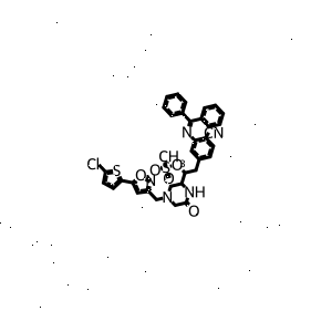 CS(=O)(=O)OC(Cc1ccc(C#N)c(N=C(c2ccccc2)c2ccccc2)c1)C1CN(Cc2cc(-c3ccc(Cl)s3)on2)CC(=O)N1